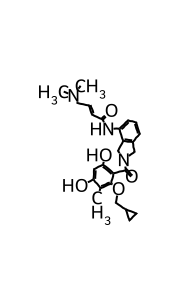 Cc1c(O)cc(O)c(C(=O)N2Cc3cccc(NC(=O)/C=C/CN(C)C)c3C2)c1OCC1CC1